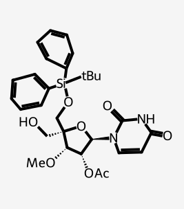 CO[C@H]1[C@@H](OC(C)=O)[C@H](n2ccc(=O)[nH]c2=O)O[C@]1(CO)CO[Si](c1ccccc1)(c1ccccc1)C(C)(C)C